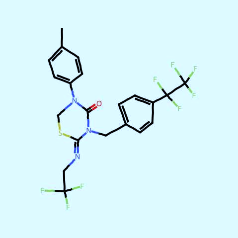 Cc1ccc(N2CSC(=NCC(F)(F)F)N(Cc3ccc(C(F)(F)C(F)(F)F)cc3)C2=O)cc1